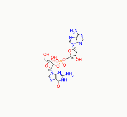 Nc1nc2c(ncn2[C@@H]2O[C@H](CO)C(O)C2OP(=O)(O)OC[C@H]2O[C@@H](n3cnc4c(N)ncnc43)CC2O)c(=O)[nH]1